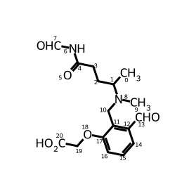 CC(CCC(=O)NC=O)N(C)Cc1c(C=O)cccc1OCC(=O)O